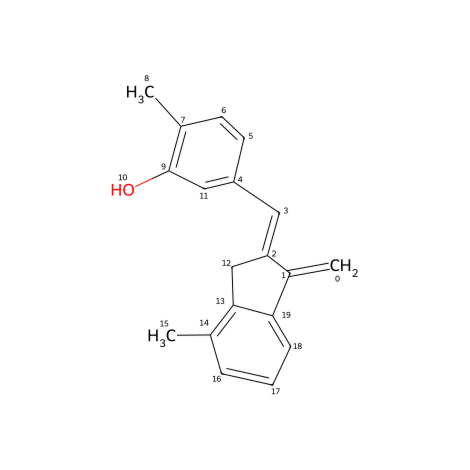 C=C1/C(=C/c2ccc(C)c(O)c2)Cc2c(C)cccc21